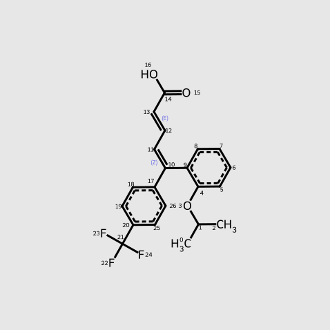 CC(C)Oc1ccccc1/C(=C\C=C\C(=O)O)c1ccc(C(F)(F)F)cc1